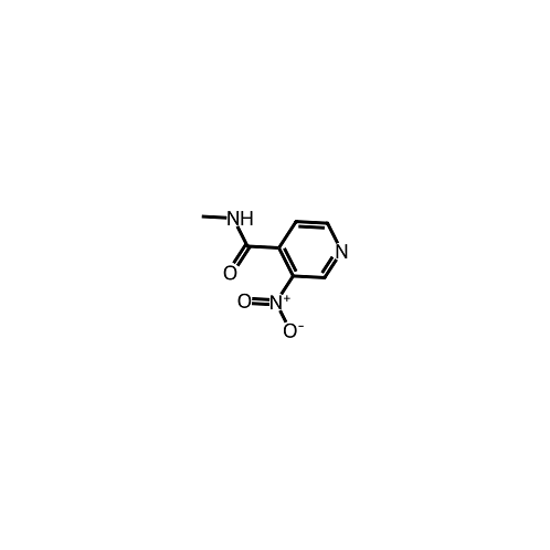 CNC(=O)c1ccncc1[N+](=O)[O-]